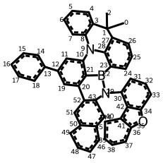 CC1(C)c2ccccc2N2c3cc(-c4ccccc4)cc4c3B(c3cccc1c32)N(c1cccc2oc3ccccc3c12)c1cc2ccccc2cc1-4